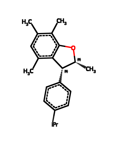 Cc1cc(C)c2c(c1C)O[C@H](C)[C@@H]2c1ccc(C(C)C)cc1